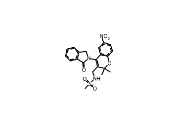 CC1(C)Oc2ccc([N+](=O)[O-])cc2C(N2Cc3ccccc3C2=O)=C1CNS(C)(=O)=O